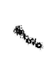 C[C@]1(CN2CCc3nc(-c4ccccc4)ncc3C2)Cn2cc([N+](=O)[O-])nc2O1